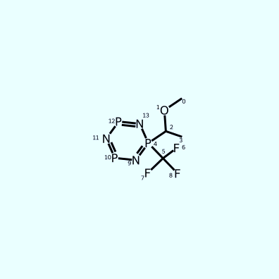 COC(C)P1(C(F)(F)F)=NP=NP=N1